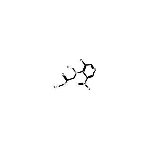 COC(=O)CN(C)c1c(Br)cncc1[N+](=O)[O-]